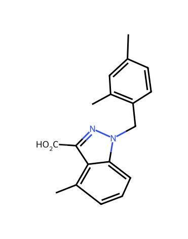 Cc1ccc(Cn2nc(C(=O)O)c3c(C)cccc32)c(C)c1